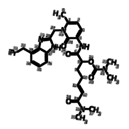 Cc1ccc(NC(=O)C(CC/C=C/C(=O)N(C)C)OC(=O)N(C)C)c(=O)n1Cc1nc2c(CC(C)C)cccc2[nH]1